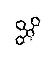 c1ccc(-c2c[nH]c(-c3ccccc3)c2-c2ccccc2)cc1